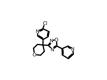 Clc1ccc(C2(c3noc(-c4cccnc4)n3)CCOCC2)cn1